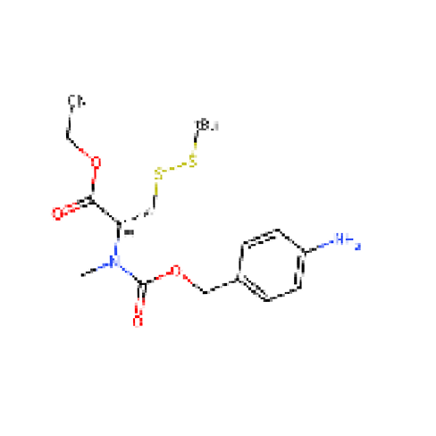 CN(C(=O)OCc1ccc(N)cc1)[C@@H](CSSC(C)(C)C)C(=O)OCC#N